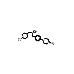 CCN1CCC(CN(C)Cc2ccc(N3CCN(C(C)C)CC3)cc2)CC1